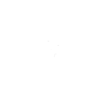 CC1[CH]CC(C(F)(F)F)CC1